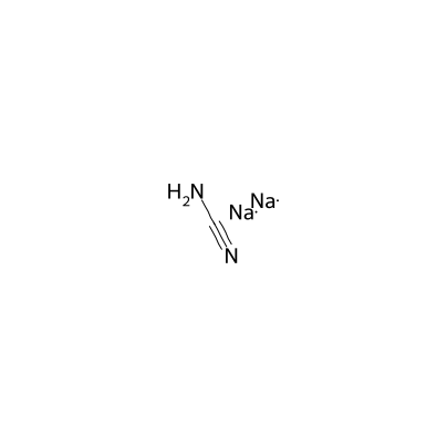 N#CN.[Na].[Na]